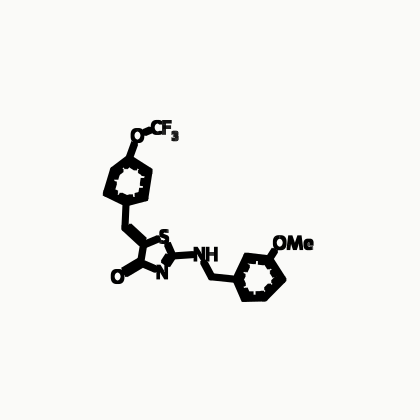 COc1cccc(CNC2=NC(=O)C(=Cc3ccc(OC(F)(F)F)cc3)S2)c1